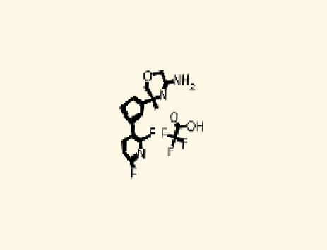 CC1(c2cccc(-c3ccc(F)nc3F)c2)COCC(N)=N1.O=C(O)C(F)(F)F